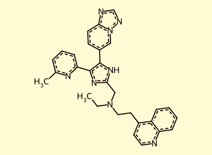 CCN(CCc1ccnc2ccccc12)Cc1nc(-c2cccc(C)n2)c(-c2ccc3ncnn3c2)[nH]1